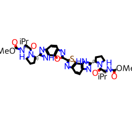 COC(=O)N[C@H](C(=O)N1CCC[C@H]1c1nc2ccc3nc(-c4nc5ccc6nc([C@@H]7CCCN7C(=O)[C@@H](NC(=O)OC)C(C)C)[nH]c6c5s4)oc3c2[nH]1)C(C)C